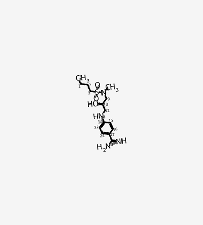 CCCCS(=O)(=O)N(C)CC(O)CNc1ccc(C(=N)N)cc1